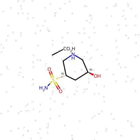 CC(=O)O.NS(=O)(=O)[C@@H]1CNC[C@@H](O)C1